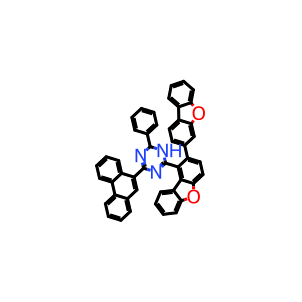 c1ccc(C2N=C(c3cc4ccccc4c4ccccc34)N=C(c3c(-c4ccc5c(c4)oc4ccccc45)ccc4oc5ccccc5c34)N2)cc1